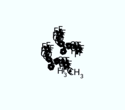 CC.O=S(=O)(Oc1ccc([S+](c2ccccc2)c2ccc(OS(=O)(=O)c3c(F)c(F)c(F)c(F)c3F)cc2)cc1)c1c(F)c(F)c(F)c(F)c1F.O=S(=O)(Oc1ccc([S+](c2ccccc2)c2ccc(OS(=O)(=O)c3c(F)c(F)c(F)c(F)c3F)cc2)cc1)c1c(F)c(F)c(F)c(F)c1F